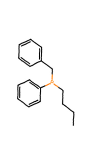 CCCCP(Cc1ccccc1)c1ccccc1